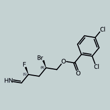 N=C[C@@H](F)C[C@@H](Br)COC(=O)c1ccc(Cl)cc1Cl